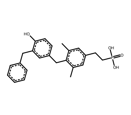 Cc1cc(CCP(=O)(O)O)cc(C)c1Cc1ccc(O)c(Cc2ccccc2)c1